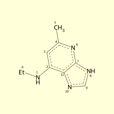 CCNc1cc(C)nc2[nH]cnc12